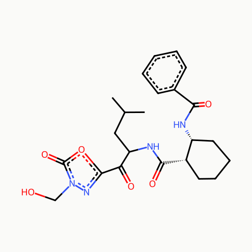 CC(C)CC(NC(=O)[C@H]1CCCC[C@H]1NC(=O)c1ccccc1)C(=O)c1nn(CO)c(=O)o1